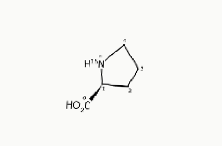 O=C(O)[C@@H]1CCC[15NH]1